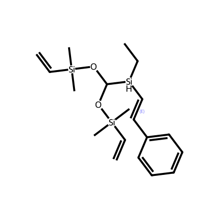 C=C[Si](C)(C)OC(O[Si](C)(C)C=C)[SiH](/C=C/c1ccccc1)CC